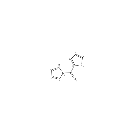 O=C(c1cccs1)n1[c]ccn1